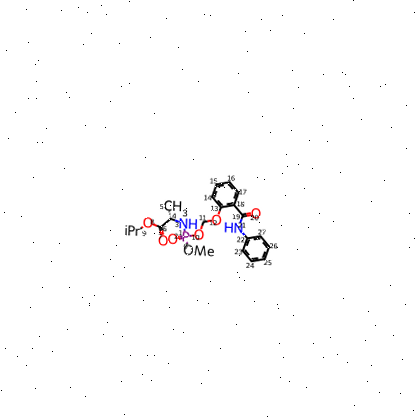 COP(=O)(N[C@@H](C)C(=O)OC(C)C)OCOc1ccccc1C(=O)Nc1ccccc1